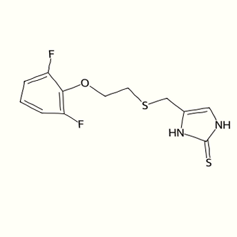 Fc1cccc(F)c1OCCSCc1c[nH]c(=S)[nH]1